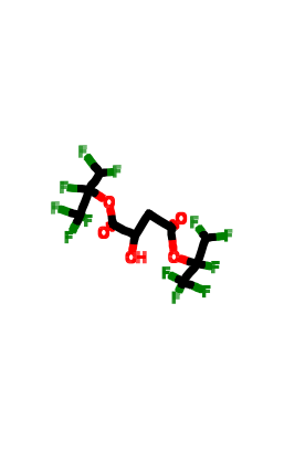 O=C(CC(O)C(=O)OC(F)(C(F)F)C(F)(F)F)OC(F)(C(F)F)C(F)(F)F